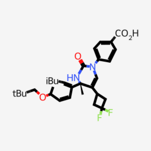 CCC(C)/C=C(\C=C/C(C)OCC(C)(C)C)[C@]1(C)NC(=O)N(c2ccc(C(=O)O)cc2)C=C1C1CC(F)(F)C1